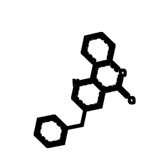 O=c1oc2ccccc2c2ncc(Cc3ccccc3)cc12